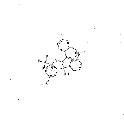 COc1cccc(C(O)(c2cccc(OC)c2)C(NC(=O)C(F)(F)F)c2cccc3ccccc23)c1